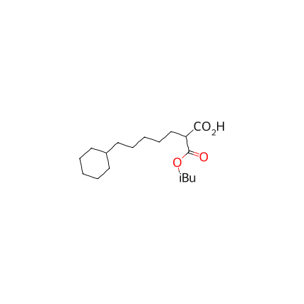 CCC(C)OC(=O)C(CCCCCC1CCCCC1)C(=O)O